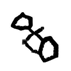 CCCCCCCCNP(=O)(c1ccccc1)c1ccccc1